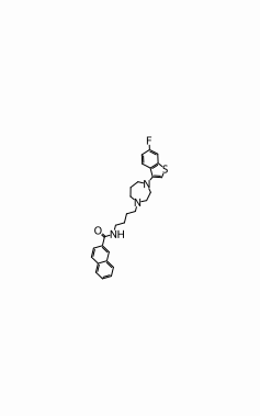 O=C(NCCCCN1CCCN(c2csc3cc(F)ccc23)CC1)c1ccc2ccccc2c1